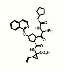 C=C[C@@H]1C[C@]1(NC(=O)[C@@H]1C[C@@H](Oc2nccc3ccccc23)CN1C(=O)[C@@H](NC(=O)OC1CCCC1)C(C)(C)C)C(=O)O